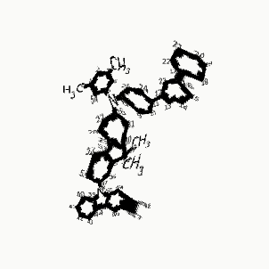 Cc1cc(C)cc(N(c2ccc(-c3cccc(-c4ccccc4)c3)cc2)c2ccc3c(c2)C(C)(C)c2cc(-n4c5ccccc5c5ccccc54)ccc2-3)c1